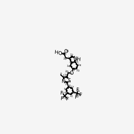 Cc1nc(-c2cc(C(F)(F)F)cc(C(F)(F)F)c2)sc1COc1ccc2[nH]cc(CC(=O)O)c2c1